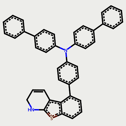 C1=Cc2c(sc3cccc(-c4ccc(N(c5ccc(-c6ccccc6)cc5)c5ccc(-c6ccccc6)cc5)cc4)c23)NC1